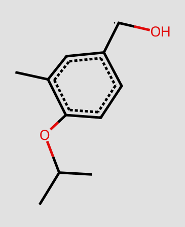 Cc1cc([CH]O)ccc1OC(C)C